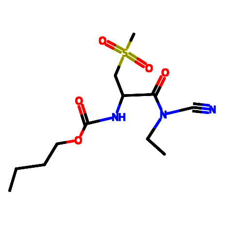 CCCCOC(=O)NC(CS(C)(=O)=O)C(=O)N(C#N)CC